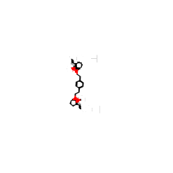 CC1(C)C2CCC1(CS(=O)(=O)O)C(=O)C2CCc1ccc(CCC2C(=O)C3(CS(=O)(=O)O)CCC2C3(C)C)cc1